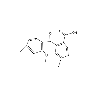 COc1cc(C)ccc1C(=O)c1cc(C)ccc1C(=O)O